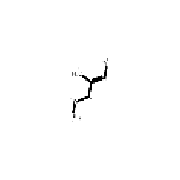 [2H]/C=C(\C)COB